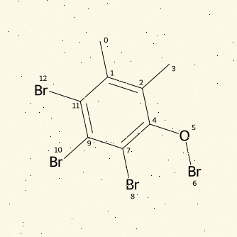 Cc1c(C)c(OBr)c(Br)c(Br)c1Br